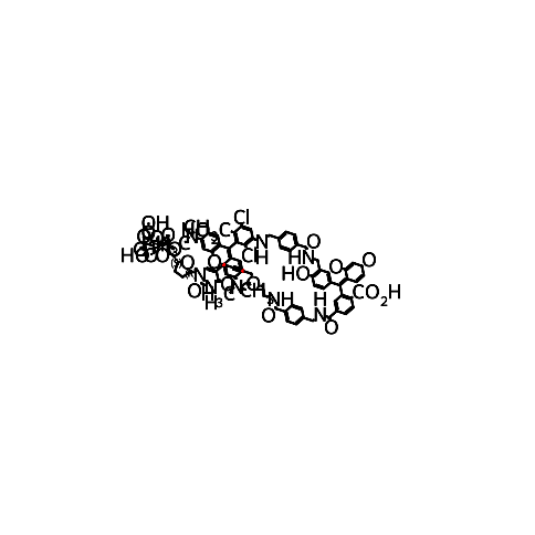 CN(C)c1ccc2c(-c3c(Cl)c(NCc4ccc(C(=O)NCc5c(O)ccc6c(-c7cc(C(=O)NCc8ccc(C(=O)NCCOCC#CCc9cn([C@H]%10CC[C@@H](COP(OO)(OOO)(P(=O)=O)P(=O)=O)O%10)c(=O)[nH]c9=O)cc8)ccc7C(=O)O)c7ccc(=O)cc-7oc56)cc4)cc(Cl)c3C(=O)O)c3ccc(=[N+](C)C)cc-3oc2c1